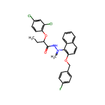 C=[N+](NC(=O)C(CC)Oc1ccc(Cl)cc1Cl)c1c(OCc2ccc(F)cc2)ccc2ccccc12